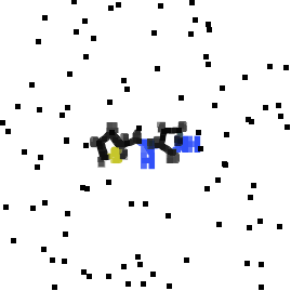 c1csc(CNC2CCNC2)c1